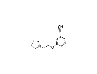 C#Cc1cccc(OCCN2CCCC2)c1